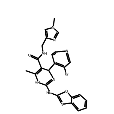 CC1=C(C(=O)NCc2cn(C)cn2)C(c2ccncc2Br)N=C(Nc2nc3ccccc3o2)N1